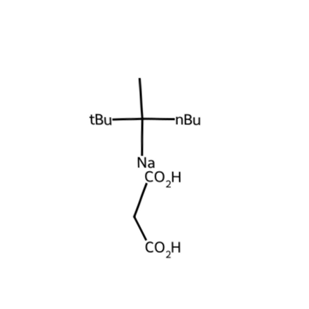 CCCC[C](C)([Na])C(C)(C)C.O=C(O)CC(=O)O